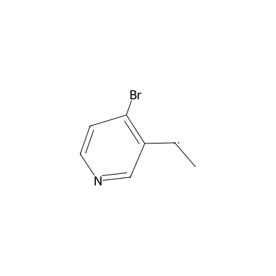 C[CH]c1cnccc1Br